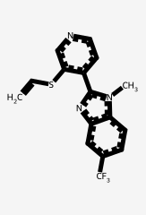 C=CSc1cnccc1-c1nc2cc(C(F)(F)F)ccc2n1C